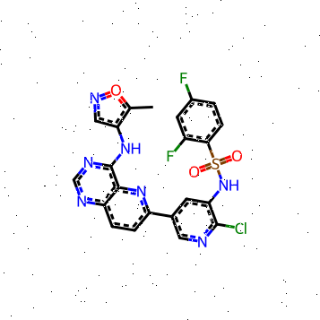 Cc1oncc1Nc1ncnc2ccc(-c3cnc(Cl)c(NS(=O)(=O)c4ccc(F)cc4F)c3)nc12